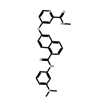 CNC(=O)c1cc(Oc2ccc3c(C(=O)Nc4cccc(N(C)C)c4)cccc3c2)ccn1